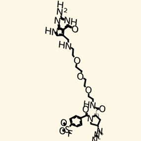 [N-]=[N+]=NC1C[C@@H](C(=O)NCCOCCOCCOCCNCc2c[nH]c3nc(N)[nH]c(=O)c23)N(C(=O)c2ccc(S(=O)(=O)F)cc2)C1